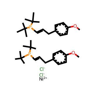 COc1ccc(CC=CP(C(C)(C)C)C(C)(C)C)cc1.COc1ccc(CC=CP(C(C)(C)C)C(C)(C)C)cc1.[Cl-].[Cl-].[Ni+2]